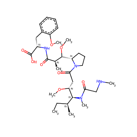 CC[C@H](C)[C@@H]([C@@H](CC(=O)N1CCC[C@H]1C(OC)[C@@H](C)C(=O)N[C@@H](Cc1ccccc1OC)C(=O)O)OC)N(C)C(=O)CNC